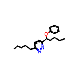 CCCCCc1ccc(C(CCCC)Oc2ccccc2)nn1